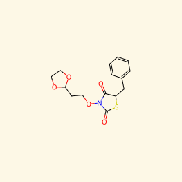 O=C1SC(Cc2ccccc2)C(=O)N1OCCC1OCCO1